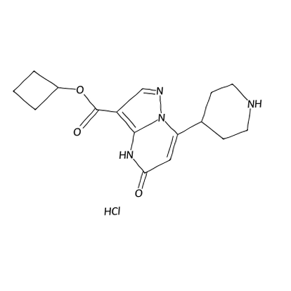 Cl.O=C(OC1CCC1)c1cnn2c(C3CCNCC3)cc(=O)[nH]c12